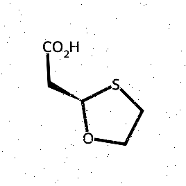 O=C(O)C[C@@H]1OCCS1